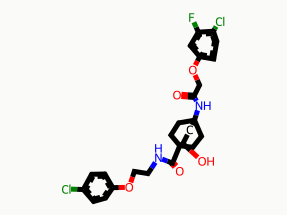 O=C(COc1ccc(Cl)c(F)c1)NC12CCC(C(=O)NCCOc3ccc(Cl)cc3)(CC1)C(O)C2